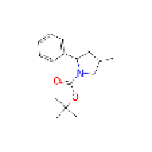 CC1CC(c2ccccc2)N(C(=O)OC(C)(C)C)C1